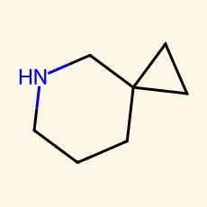 C1CNCC2(C1)CC2